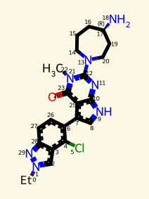 CCn1cc2c(Cl)c(-c3c[nH]c4nc(N5CCC[C@@H](N)CC5)n(C)c(=O)c34)ccc2n1